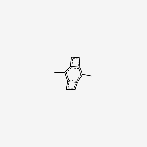 Cc1c2ccc2c(C)c2ccc12